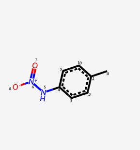 Cc1ccc(N[N+](=O)[O-])cc1